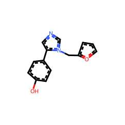 Oc1ccc(-c2cncn2Cc2ccco2)cc1